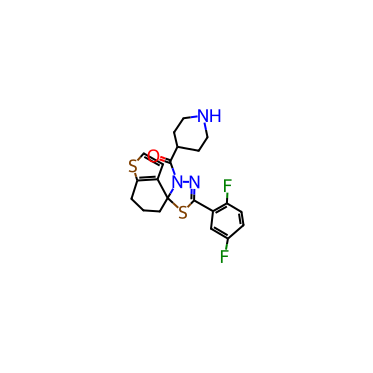 O=C(C1CCNCC1)N1N=C(c2cc(F)ccc2F)SC12CCCc1sccc12